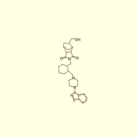 O=C1C2C3CC(CO)C(C3)C2C(=O)N1CC1CCCCC1CN1CCN(c2nsc3ccccc23)CC1